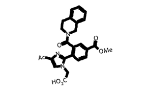 COC(=O)c1ccc(-c2nc(C(C)=O)cn2CC(=O)O)c(C(=O)N2CCc3ccccc3C2)c1